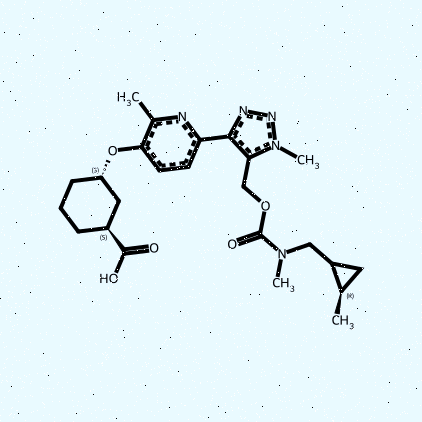 Cc1nc(-c2nnn(C)c2COC(=O)N(C)CC2C[C@H]2C)ccc1O[C@H]1CCC[C@H](C(=O)O)C1